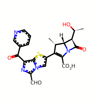 C[C@@H](O)[C@H]1C(=O)N2C(C(=O)O)=C(c3cn4c(C=O)nc(C(=O)c5cccnc5)c4s3)[C@H](C)[C@H]12